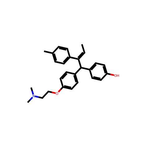 C/C=C(\c1ccc(C)cc1)C(c1ccc(O)cc1)c1ccc(OCCN(C)C)cc1